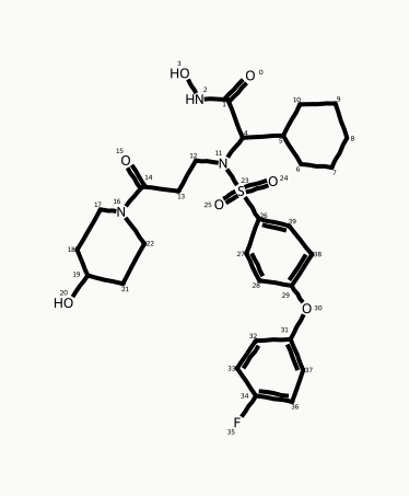 O=C(NO)C(C1CCCCC1)N(CCC(=O)N1CCC(O)CC1)S(=O)(=O)c1ccc(Oc2ccc(F)cc2)cc1